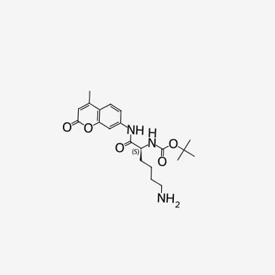 Cc1cc(=O)oc2cc(NC(=O)[C@H](CCCCN)NC(=O)OC(C)(C)C)ccc12